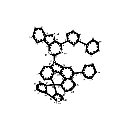 c1ccc(-c2cccc(-c3nc(-n4c5cccc6c5c5c7c(cccc7c(-c7ccccc7)cc54)C64c5ccccc5-c5ccccc54)nc4c3sc3ccccc34)c2)cc1